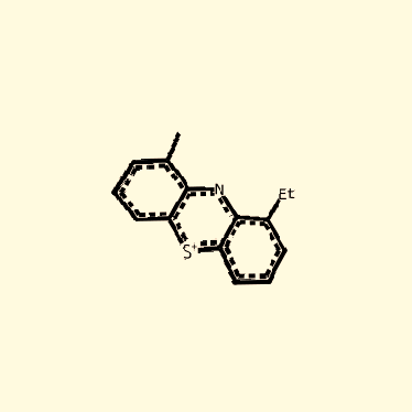 CCc1cccc2[s+]c3cccc(C)c3nc12